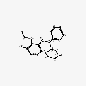 CCOc1c(F)cccc1OC(c1ccccc1)[C@@H]1CNCCO1